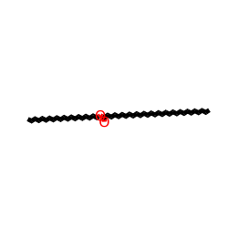 CCCCCCCCCCCCCCCCCCCCCCCCCCCCCC(=O)OCCCCCCCCCCCCCCCCCCCC